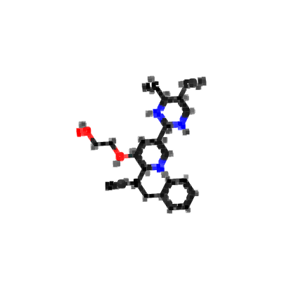 COB(Cc1ccccc1)c1ncc(-c2ncc(C(=O)O)c(C)n2)cc1OCCO